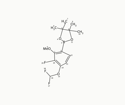 COc1c(B2OC(C)(C)C(C)(C)O2)ccc(OC(F)F)c1F